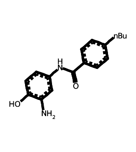 CCCCc1ccc(C(=O)Nc2ccc(O)c(N)c2)cc1